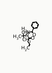 C=CCC(=O)N(NC(=O)c1ccccc1)C(C)(C)C